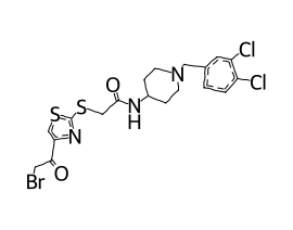 O=C(CSc1nc(C(=O)CBr)cs1)NC1CCN(Cc2ccc(Cl)c(Cl)c2)CC1